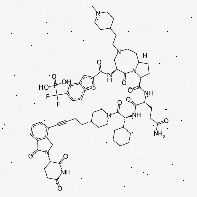 CN1CCC(CCN2CC[C@H]3CC[C@@H](C(=O)N[C@@H](CCC(N)=O)C(=O)N[C@H](C(=O)N4CCC(CCC#Cc5cccc6c5CN(C5CCC(=O)NC5=O)C6=O)CC4)C4CCCCC4)N3C(=O)[C@@H](NC(=O)c3cc4cc(C(F)(F)P(=O)(O)O)ccc4s3)C2)CC1